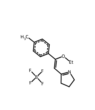 CCOC(=CC1=NCCC1)c1ccc(C)cc1.F[B-](F)(F)F